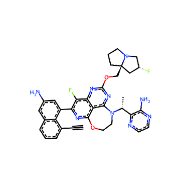 C#Cc1cccc2cc(N)cc(-c3nc4c5c(nc(OC[C@@]67CCCN6C[C@H](F)C7)nc5c3F)N([C@H](C)c3nccnc3N)CCO4)c12